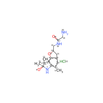 Cc1cc2c(c3c1NC(=O)C3(C)C)OC(CNC(=O)CN)C2.Cl